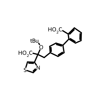 CC(C)(C)OC(Cc1ccc(-c2ccccc2C(=O)O)cc1)(C(=O)O)c1cscn1